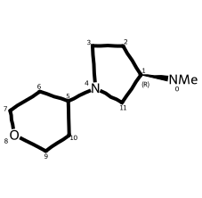 CN[C@@H]1CCN(C2CCOCC2)C1